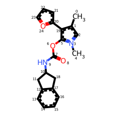 Cc1cn(C)c(OC(=O)NC2Cc3ccccc3C2)c1-c1ccco1